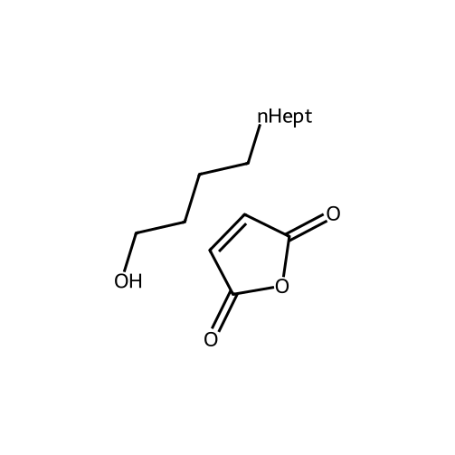 CCCCCCCCCCCO.O=C1C=CC(=O)O1